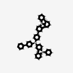 c1ccc(-c2ccc(N(c3ccc(-c4ccc5c(c4)c4cccc6c7ccccc7n5c64)cc3)c3ccc4c(c3)c3ccccc3n4-c3ccccc3)cc2)cc1